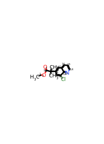 CCOC(=O)C(C)(C)c1cc(Cl)c2ncccc2c1